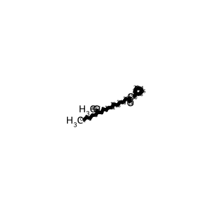 CCCCCCC(CCCCCCCCCCC(=O)OCc1ccccc1)OC